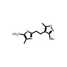 CCCCc1noc(C)c1CCc1nc(C)c(C(=O)O)s1